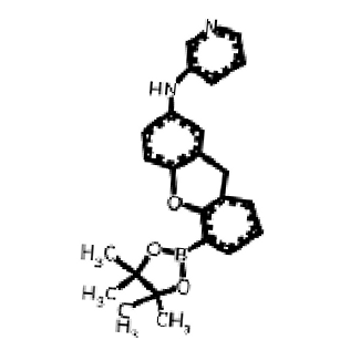 CC1(C)OB(c2cccc3c2Oc2ccc(Nc4cccnc4)cc2C3)OC1(C)C